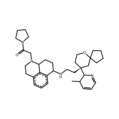 CC1C=CC=NC1[C@]1(CCNC2CCC3c4c(cccc42)CCN3CC(=O)N2CCCC2)CCOC2(CCCC2)C1